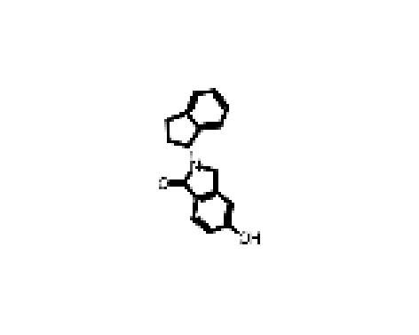 O=C1c2ccc(O)cc2CN1[C@@H]1CCc2ccccc21